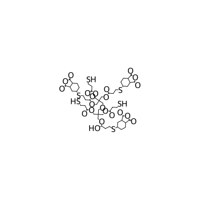 O=C(CCS)OCC(COCC(COC(=O)CCS)(COC(=O)CCS)COC(O)CCSC1CCC2C(=O)OC(=O)C2C1)(COC(=O)CCSC1CCC2C(=O)OC(=O)C2C1)COC(=O)CCSC1CCC2C(=O)OC(=O)C2C1